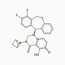 O=C1c2c(O)c(=O)ccn2N([C@@H]2c3ccccc3SCc3c2ccc(F)c3F)CN1C1C2CC1C2F